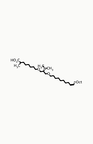 CCCCCCCC/C=C\CCCCCCCCOCC(COCCCCCCC(C)C(=O)O)N(C)C